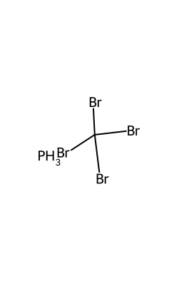 BrC(Br)(Br)Br.P